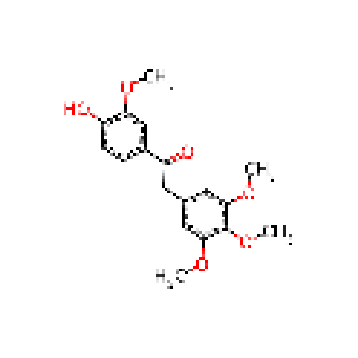 COc1cc(C(=O)Cc2cc(OC)c(OC)c(OC)c2)ccc1O